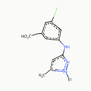 CCn1nc(Nc2cc(F)cc(C(=O)O)c2)cc1C